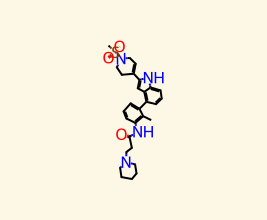 Cc1c(NC(=O)CCN2CCCCC2)cccc1-c1cccc2[nH]c(C3=CCN(S(C)(=O)=O)CC3)cc12